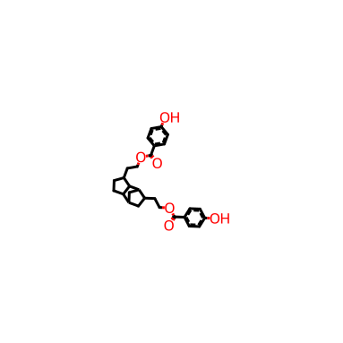 O=C(OCCC1CC2CC1C1C(CCOC(=O)c3ccc(O)cc3)CCC21)c1ccc(O)cc1